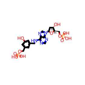 O=P(O)(O)OCc1cc(O)cc(CNc2ncnc3c2ncn3[C@H]2C[C@H](O)[C@@H](COP(=O)(O)O)O2)c1